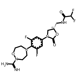 N=C(N)N1CCN(c2c(F)cc(N3C[C@H](CNC(=O)C(F)F)OC3=O)cc2F)CCO1